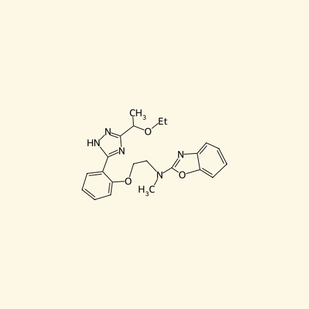 CCOC(C)c1n[nH]c(-c2ccccc2OCCN(C)c2nc3ccccc3o2)n1